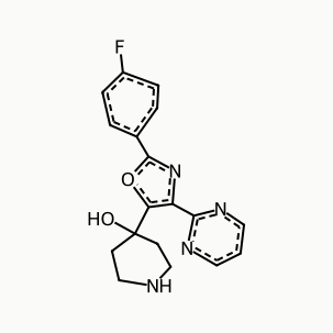 OC1(c2oc(-c3ccc(F)cc3)nc2-c2ncccn2)CCNCC1